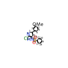 COc1cccc(-c2cnc(Cl)c(NS(=O)(=O)c3ccccc3)c2)c1